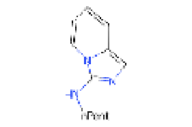 CCCCCNc1ncc2ccccn12